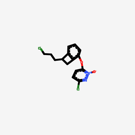 [O-][n+]1nc(Cl)ccc1Oc1cccc2c1CC2CCCCl